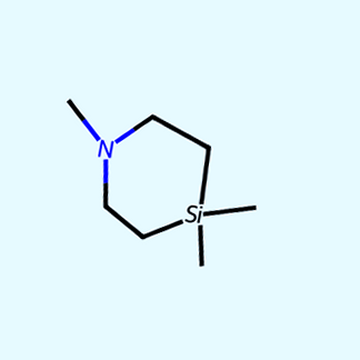 CN1CC[Si](C)(C)CC1